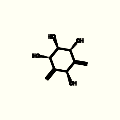 C=C1[C@@H](O)C(=C)[C@H](O)[C@@H](O)[C@@H]1O